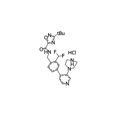 CC(C)(C)c1noc(C(=O)NCc2ccc(-c3ccncc3N3CCNCC3)cc2C(F)F)n1.Cl